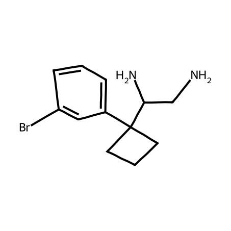 NCC(N)C1(c2cccc(Br)c2)CCC1